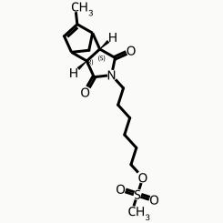 CC1=CC2CC1[C@@H]1C(=O)N(CCCCCCOS(C)(=O)=O)C(=O)[C@H]21